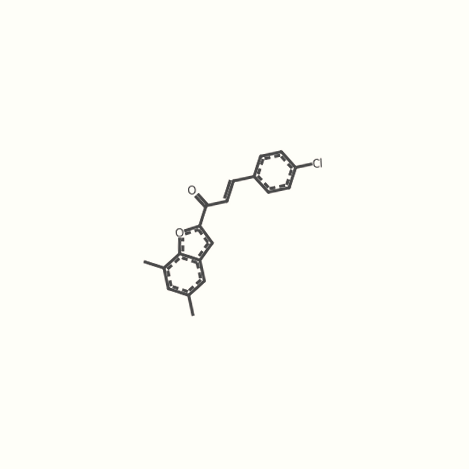 Cc1cc(C)c2oc(C(=O)/C=C/c3ccc(Cl)cc3)cc2c1